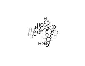 CC(C)ON=C[C@]1(C)C[C@@H](C(Oc2ccc3c(c2F)B(O)OC3)C(=O)O)[C@@]2(C)[C@H](C)CC[C@]3(CCC(=O)[C@H]32)[C@@H](C)[C@@H]1O